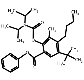 CCCCc1c(C(C)(C)C)cc(C(=O)Oc2ccccc2)c(OC(=O)N(C(C)C)C(C)C)c1C